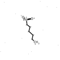 CCCCCC[SH](=O)=O